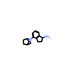 NC1CCc2c1cccc2N1CC2CCC1C2